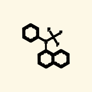 FS(F)(F)N(c1ccccc1)c1cccc2ccccc12